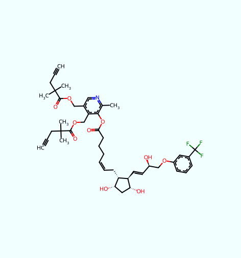 C#CCC(C)(C)C(=O)OCc1cnc(C)c(OC(=O)CCC/C=C\C[C@@H]2[C@@H](/C=C/[C@@H](O)COc3cccc(C(F)(F)F)c3)[C@H](O)C[C@@H]2O)c1COC(=O)C(C)(C)CC#C